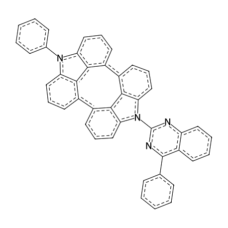 c1ccc(-c2nc(-n3c4cccc5c6cccc7c6c6c(cccc6n7-c6ccccc6)c6cccc3c6c54)nc3ccccc23)cc1